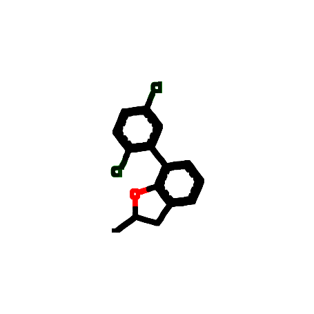 [CH2]C1Cc2cccc(-c3cc(Cl)ccc3Cl)c2O1